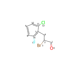 O=CC(Br)Cc1c(F)cccc1Cl